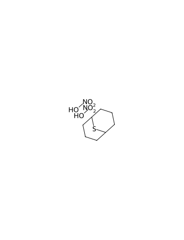 C1CC2CCCC(C1)S2.O=[N+]([O-])O.O=[N+]([O-])O